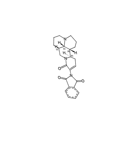 O=C1c2ccccc2C(=O)N1C1=CC[C@@H]2[C@H]3CCCN4CCC[C@@H](CN2C1=O)[C@@H]34